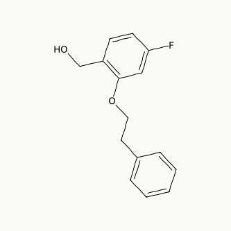 OCc1ccc(F)cc1OCCc1ccccc1